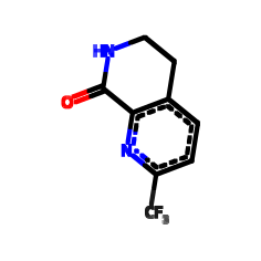 O=C1NCCc2ccc(C(F)(F)F)nc21